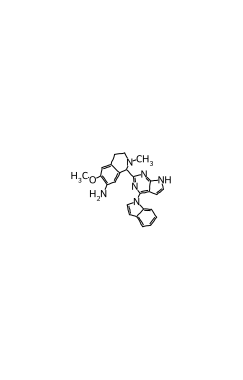 COc1cc2c(cc1N)C(c1nc(-n3ccc4ccccc43)c3cc[nH]c3n1)N(C)CC2